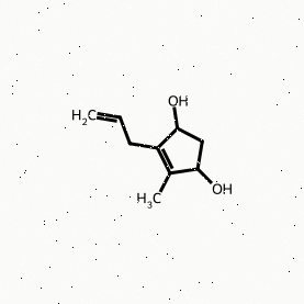 C=CCC1=C(C)C(O)CC1O